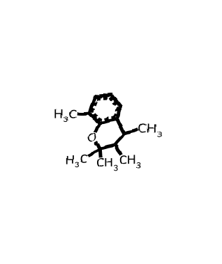 Cc1cccc2c1OC(C)(C)C(C)C2C